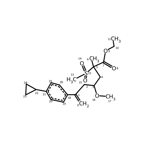 C=C(CC(CC(C)(C(=O)OCC)S(C)(=O)=O)OC)c1ccc(C2CC2)cc1